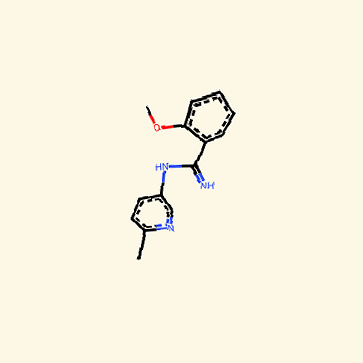 COc1ccccc1C(=N)Nc1ccc(C)nc1